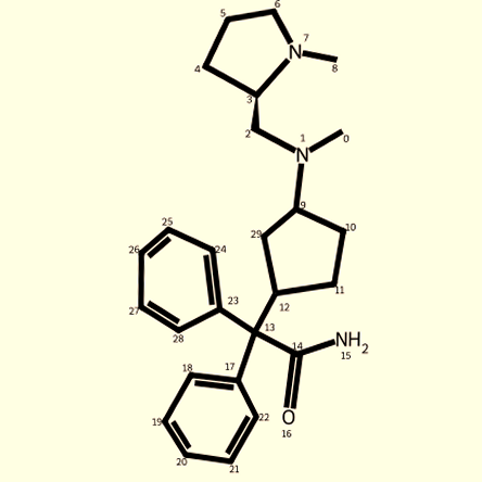 CN(C[C@H]1CCCN1C)C1CCC(C(C(N)=O)(c2ccccc2)c2ccccc2)C1